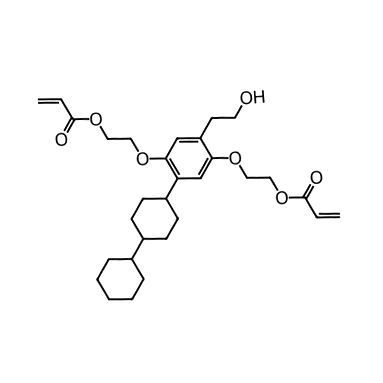 C=CC(=O)OCCOc1cc(C2CCC(C3CCCCC3)CC2)c(OCCOC(=O)C=C)cc1CCO